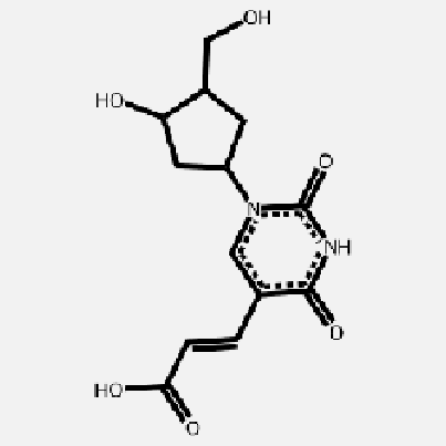 O=C(O)C=Cc1cn(C2CC(O)C(CO)C2)c(=O)[nH]c1=O